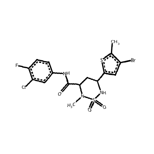 Cc1sc(C2CC(C(=O)Nc3ccc(F)c(Cl)c3)N(C)S(=O)(=O)N2)cc1Br